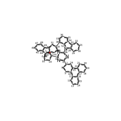 c1ccc(-c2nc(-c3ccc4c5ccccc5c5ccccc5c4c3)nc(-n3c4ccccc4c4cccc(-c5ccc6oc7ccccc7c6c5)c43)n2)cc1